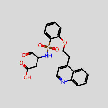 O=C[C@H](CC(=O)O)NS(=O)(=O)c1ccccc1OCCc1ccnc2ccccc12